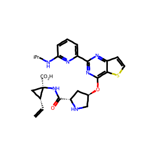 C=C[C@@H]1C[C@]1(NC(=O)[C@@H]1C[C@@H](Oc2nc(-c3cccc(NC(C)C)n3)nc3ccsc23)CN1)C(=O)O